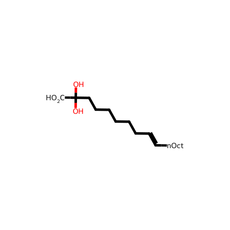 CCCCCCCCC=CCCCCCCC(O)(O)C(=O)O